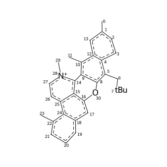 Cc1ccc2c(CC(C)(C)C)c3c(c(C)c2c1)-c1c2c(cc4cccc(C)c4c2cc[n+]1C)O3